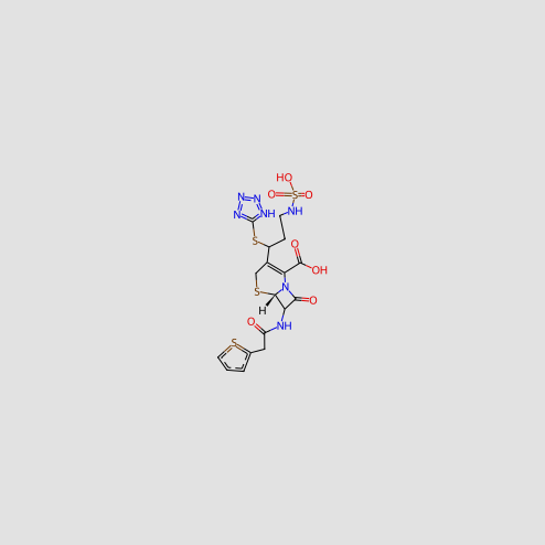 O=C(Cc1cccs1)NC1C(=O)N2C(C(=O)O)=C(C(CCNS(=O)(=O)O)Sc3nnn[nH]3)CS[C@@H]12